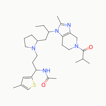 CCC(CC1CCCN1CCC(NC(C)=O)c1cc(C)cs1)n1c(C)nc2c1CCN(C(=O)C(C)C)C2